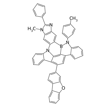 Cc1ccc(N2B3c4cc5nc(-c6ccccc6)n(C)c5cc4-n4c5ccccc5c5c(-c6ccc7c(c6)oc6ccccc67)cc(c3c54)-c3ccccc32)cc1